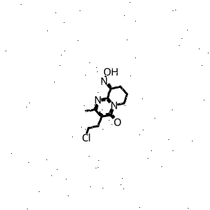 Cc1nc2n(c(=O)c1CCCl)CCC/C2=N\O